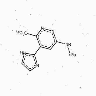 CCCCNc1cc(-c2ncc[nH]2)c(C(=O)O)nn1